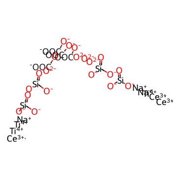 O=C([O-])[O-].O=C([O-])[O-].O=C([O-])[O-].O=C([O-])[O-].O=[Si]([O-])[O-].O=[Si]([O-])[O-].O=[Si]([O-])[O-].O=[Si]([O-])[O-].[Ce+3].[Ce+3].[Ce+3].[Na+].[Na+].[Na+].[O-2].[O-2].[O-2].[O-2].[Ti+4].[Ti+4].[Ti+4]